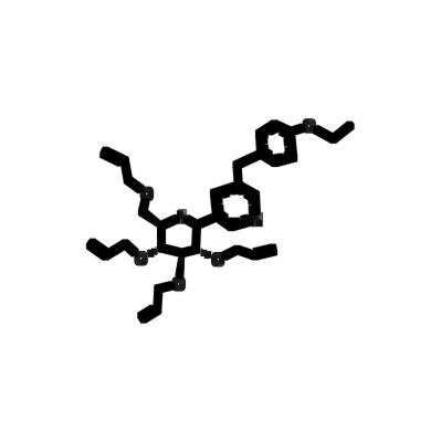 C=CCOC[C@H]1SC(c2cncc(Cc3ccc(OCC)cc3)c2)[C@H](OCC=C)[C@@H](OCC=C)[C@@H]1OCC=C